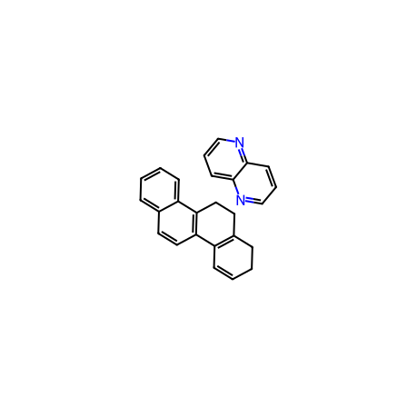 C1=CC2=C(CC1)CCc1c2ccc2ccccc12.c1cnc2cccnc2c1